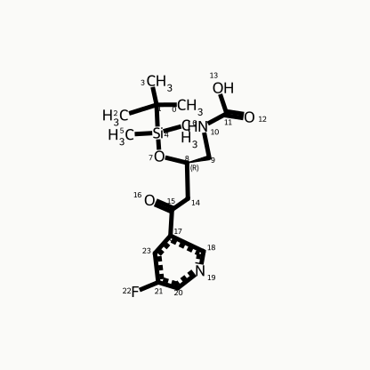 CC(C)(C)[Si](C)(C)O[C@@H](CNC(=O)O)CC(=O)c1cncc(F)c1